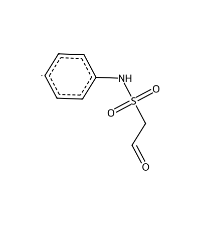 O=CCS(=O)(=O)Nc1cc[c]cc1